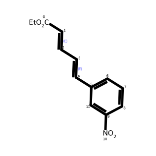 CCOC(=O)/C=C/C=C/c1cccc([N+](=O)[O-])c1